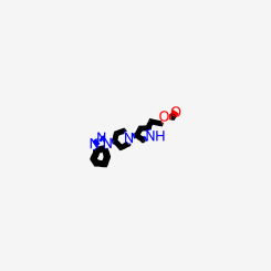 O=COCCC1CC(N2CCC(n3nnc4ccccc43)CC2)CN1